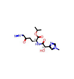 CC(C)OC(=O)[C@H](CCC(=O)C=[N+]=[N-])NC(=O)[C@@H](O)c1cn(C)cn1